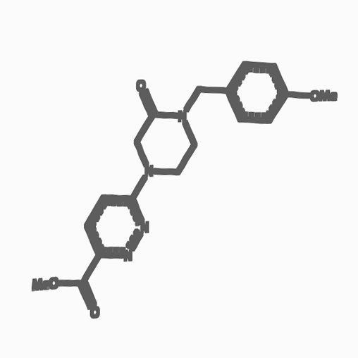 COC(=O)c1ccc(N2CCN(Cc3ccc(OC)cc3)C(=O)C2)nn1